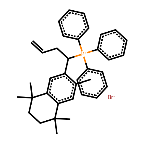 C=CCC(c1cc2c(cc1C)C(C)(C)CCC2(C)C)[P+](c1ccccc1)(c1ccccc1)c1ccccc1.[Br-]